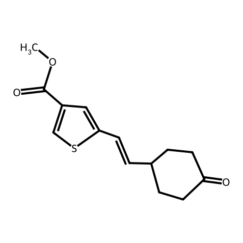 COC(=O)c1csc(/C=C/C2CCC(=O)CC2)c1